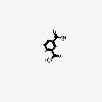 NC(=O)c1cc[c]c(C(=O)O)c1